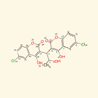 CC(O)C(c1c(O)c2cc(Cl)ccc2oc1=O)c1c(O)c2cc(Cl)ccc2oc1=O